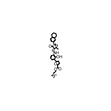 CC1=NN(c2ccc3c(c2)CCCC3)C(=O)/C1=N/Nc1cccc(-c2ccc(C(=O)OCC[N+](C)(C)C)o2)c1O